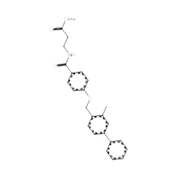 COC(=O)CCNC(=O)c1ccc(OCc2ccc(-c3ccccc3)cc2C)cc1